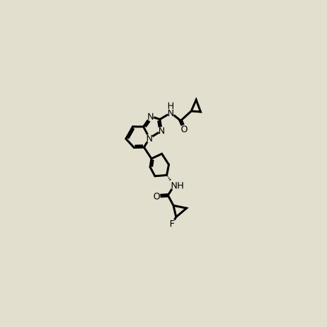 O=C(Nc1nc2cccc(C3=CC[C@@H](NC(=O)C4CC4F)CC3)n2n1)C1CC1